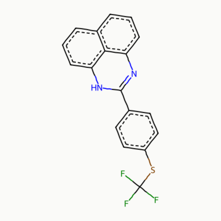 FC(F)(F)Sc1ccc(C2=Nc3cccc4cccc(c34)N2)cc1